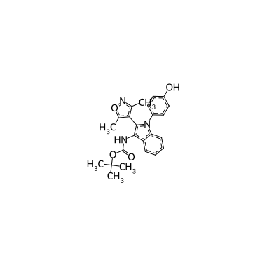 Cc1noc(C)c1-c1c(NC(=O)OC(C)(C)C)c2ccccc2n1-c1ccc(O)cc1